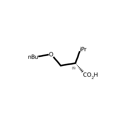 CCCCOC[C@@H](C(=O)O)C(C)C